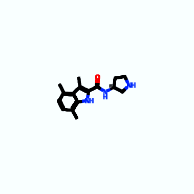 Cc1ccc(C)c2c(C)c(C(=O)N[C@H]3CCNC3)[nH]c12